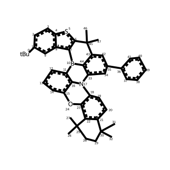 CC(C)(C)c1ccc2sc3c(c2c1)B1c2cccc4c2N(c2ccc5c(c2O4)C(C)(C)CCC5(C)C)c2cc(-c4ccccc4)cc(c21)C3(C)C